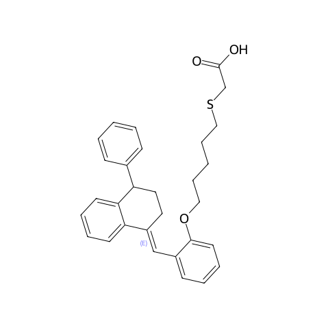 O=C(O)CSCCCCCOc1ccccc1/C=C1\CCC(c2ccccc2)c2ccccc21